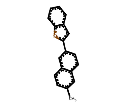 Cc1ccc2cc(-c3cc4ccccc4s3)ccc2c1